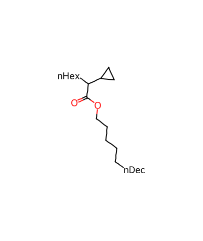 CCCCCCCCCCCCCCCOC(=O)C(CCCCCC)C1CC1